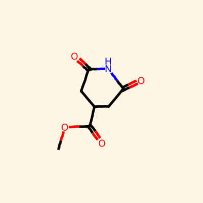 COC(=O)C1CC(=O)NC(=O)C1